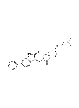 CN(C)CCOc1ccc2[nH]c(C=C3C(=O)Nc4cc(-c5ccccc5)ccc43)cc2c1